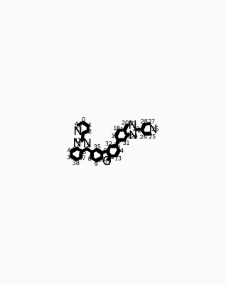 c1ccc(-c2nc(-c3ccc4oc5ccc(-c6ccc7cnc(-c8ccncc8)nc7c6)cc5c4c3)c3ccccc3n2)nc1